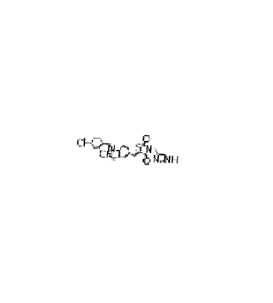 O=C1S/C(=C\c2ccc3c(cnn3Cc3ccc(Cl)cc3C(F)(F)F)c2)C(=O)N1Cc1c[nH]cn1